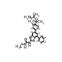 C=C(CN)OC(C)(C)c1ncc(-c2cc(-c3ccccn3)c3sc(NC(=O)NCC)nc3c2)cn1